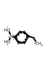 CCc1ccc([SiH](O)O)cc1